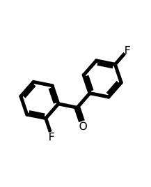 O=C(c1ccc(F)cc1)c1ccccc1F